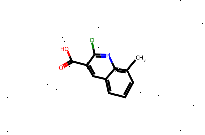 Cc1cccc2cc(C(=O)O)c(Cl)nc12